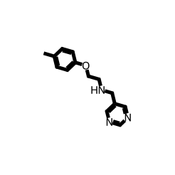 Cc1ccc(OCCNCc2cncnc2)cc1